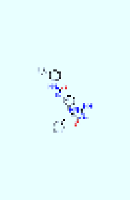 CN1C(=N)N[C@](CCC2CCCCC2)(C[C@H]2CCC[C@@H](NC(=O)Nc3cccc(C(F)(F)F)c3)C2)C1=O